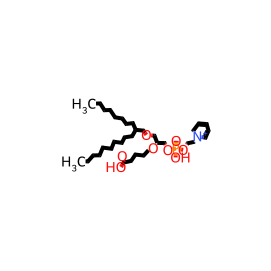 CCCCCCCCCCC(CCCCCCCC)COCC(COP(=O)(O)OCC[n+]1ccccc1)OCCCCC(=O)O